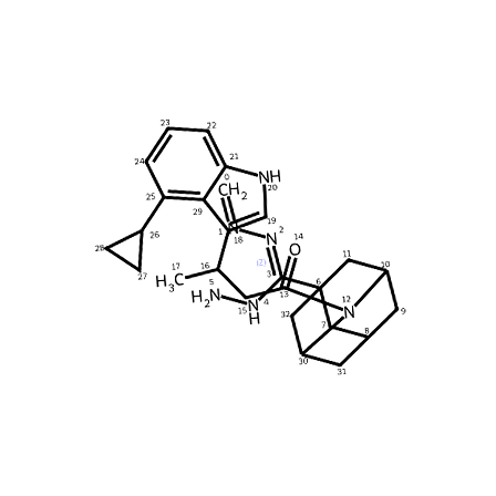 C=N/N=C(\NN)C12CC3CC(C1)N(C(=O)CC(C)c1c[nH]c4cccc(C5CC5)c14)C(C3)C2